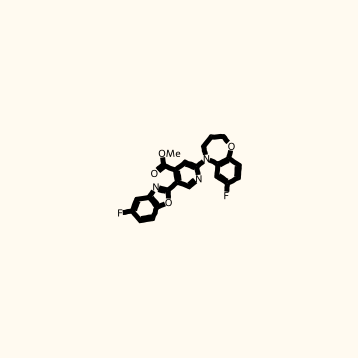 COC(=O)c1cc(N2CCCOc3ccc(F)cc32)ncc1-c1nc2cc(F)ccc2o1